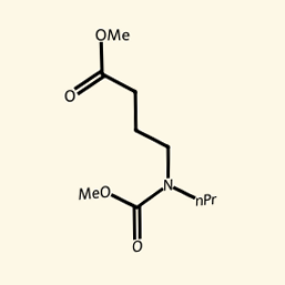 CCCN(CCCC(=O)OC)C(=O)OC